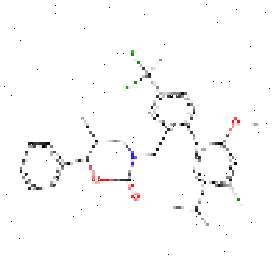 COc1cc(F)c(C(C)C)cc1-c1ccc(C(F)(F)F)cc1CN1CC(C)C(c2ccccc2)OC1=O